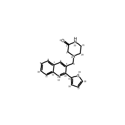 O=C1CN(Cc2cc3ccccc3nc2-c2cccs2)CCN1